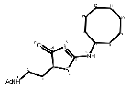 CC(=O)NCCC1SC(NC2CCCCCCC2)=NC1=O